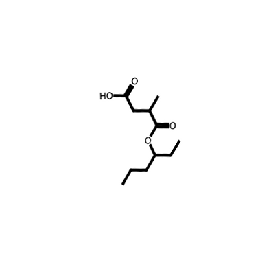 CCCC(CC)OC(=O)C(C)CC(=O)O